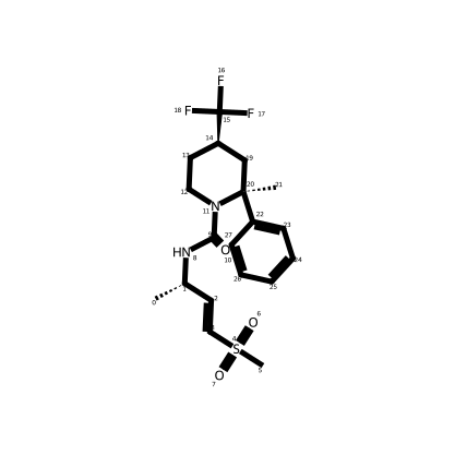 C[C@@H](/C=C/S(C)(=O)=O)NC(=O)N1CC[C@@H](C(F)(F)F)C[C@@]1(C)c1ccccc1